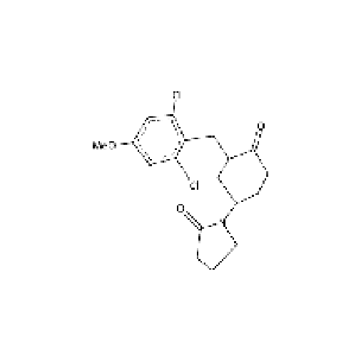 COc1cc(Cl)c(CC2CC(N3CCCC3=O)CCC2=O)c(Cl)c1